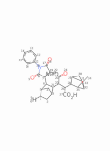 [3H]C1CC2CC1C(C1C(=O)N(c3ccccc3)C(=O)C1C)C2C(C(=O)OC)C(C(=O)O)C1C2CC3C(C2C)C31